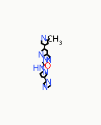 Cc1cc(-c2cnc3c(cnn3CC(=O)Nc3ccc(-c4cnccn4)cn3)c2)ccn1